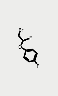 Fc1ccc(OC(F)CBr)cc1